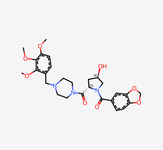 COc1ccc(CN2CCN(C(=O)[C@@H]3C[C@@H](O)CN3C(=O)c3ccc4c(c3)OCO4)CC2)c(OC)c1OC